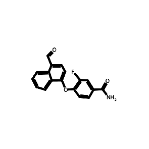 NC(=O)c1ccc(Oc2ccc(C=O)c3ccccc23)c(F)c1